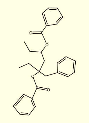 CCC(CC(CC)(Cc1ccccc1)OC(=O)c1ccccc1)OC(=O)c1ccccc1